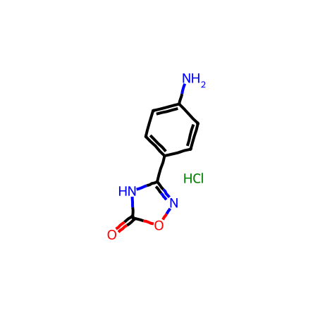 Cl.Nc1ccc(-c2noc(=O)[nH]2)cc1